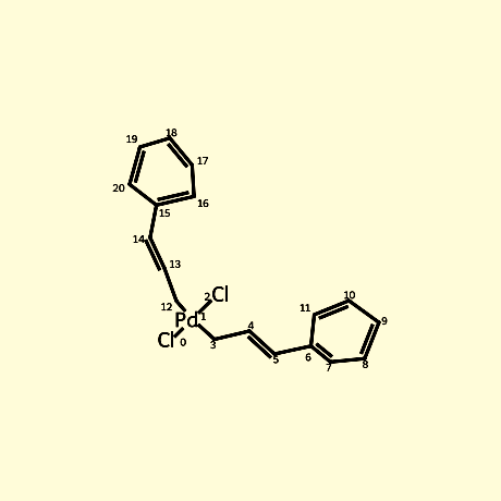 [Cl][Pd]([Cl])([CH2]C=Cc1ccccc1)[CH2]C=Cc1ccccc1